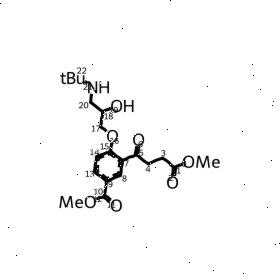 COC(=O)CCC(=O)c1cc(C(=O)OC)ccc1OCC(O)CNC(C)(C)C